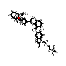 Cc1nc2ccc(Oc3ccc4ncc(-c5cnn(C6CC7CCC(C6)N7C(=O)OC(C)(C)C)c5)nc4c3Cl)cc2n1COCC[Si](C)(C)C